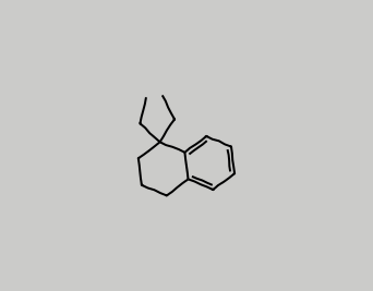 CCC1(CC)CCCc2ccccc21